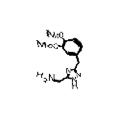 COc1ccc(Cc2n[nH]c(CN)n2)cc1OC